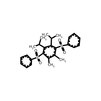 Cc1c(C)c(S(=O)(=O)c2ccccc2)c(C(C)C)c(C(C)C)c1S(=O)(=O)c1ccccc1